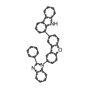 c1ccc(-c2nc3ccccc3n2-c2ccc3oc4ccc(-c5cccc6c5[nH]c5ccccc56)cc4c3c2)cc1